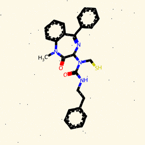 CN1C(=O)C(N(CS)C(=O)NCCc2ccccc2)N=C(c2ccccc2)c2ccccc21